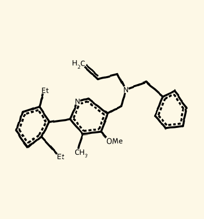 C=CCN(Cc1ccccc1)Cc1cnc(-c2c(CC)cccc2CC)c(C)c1OC